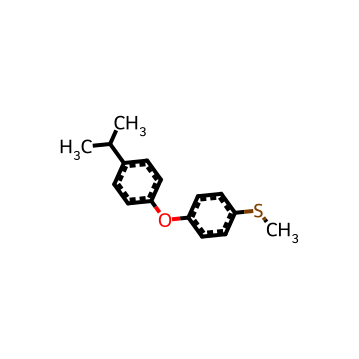 CSc1ccc(Oc2ccc(C(C)C)cc2)cc1